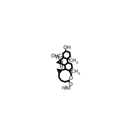 CCCCOC1CCCC2=C[C@H]2C2C3C(CC[C@]2(C)CO1)[C@@]1(C)CC[C@H](O)C[C@@]1(C=O)[C@@H]1C[C@H]31